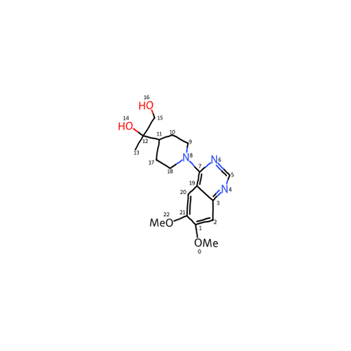 COc1cc2ncnc(N3CCC(C(C)(O)CO)CC3)c2cc1OC